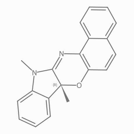 CN1C2=Nc3c(ccc4ccccc34)O[C@]2(C)c2ccccc21